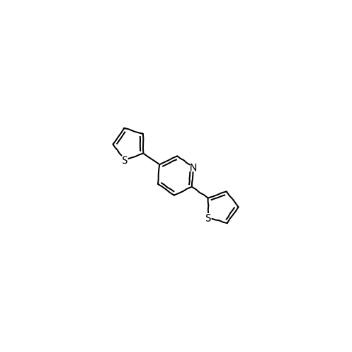 c1csc(-c2ccc(-c3cccs3)nc2)c1